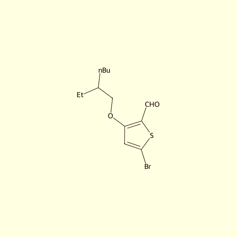 CCCCC(CC)COc1cc(Br)sc1C=O